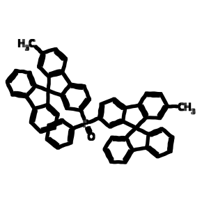 Cc1ccc2c(c1)C1(c3ccccc3-c3ccccc31)c1cc(P(=O)(c3ccccc3)c3ccc4c(c3)C3(c5ccccc5-c5ccccc53)c3cc(C)ccc3-4)ccc1-2